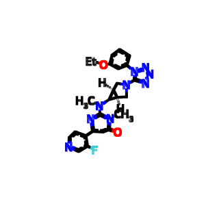 CCOc1cccc(-n2nnnc2N2C[C@@H]3[C@H](C2)[C@@H]3N(C)c2nc(-c3ccncc3F)cc(=O)n2C)c1